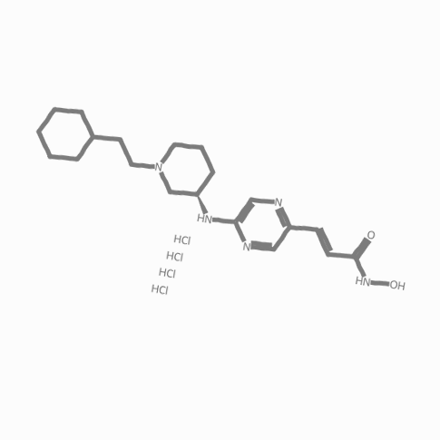 Cl.Cl.Cl.Cl.O=C(C=Cc1cnc(N[C@@H]2CCCN(CCC3CCCCC3)C2)cn1)NO